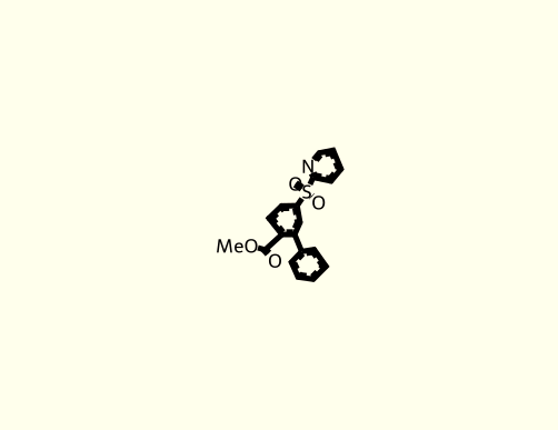 COC(=O)c1ccc(S(=O)(=O)c2ccccn2)cc1-c1ccccc1